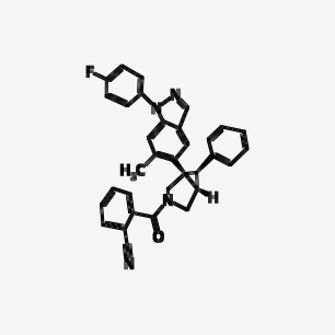 Cc1cc2c(cnn2-c2ccc(F)cc2)cc1[C@]12CN(C(=O)c3ccccc3C#N)C[C@H]1[C@@H]2c1ccccc1